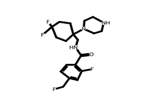 O=C(NCC1(N2CCNCC2)CCC(F)(F)CC1)c1ccc(CF)cc1F